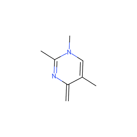 C=C1N=C(C)N(C)C=C1C